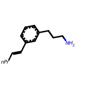 CCCC=Cc1cccc(CCCN)c1